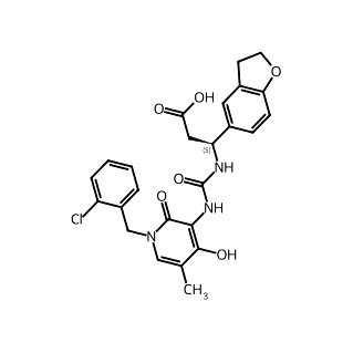 Cc1cn(Cc2ccccc2Cl)c(=O)c(NC(=O)N[C@@H](CC(=O)O)c2ccc3c(c2)CCO3)c1O